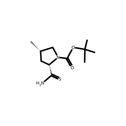 C[C@H]1C[C@@H](C(N)=S)N(C(=O)OC(C)(C)C)C1